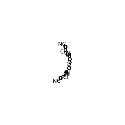 N#Cc1ccc(CC(Cl)c2ccc(C3CCC(CC(=O)C[C@H]4CC[C@H](c5ccc(C(Cl)Cc6ccc(C#N)cc6)nn5)CC4)CC3)nn2)cc1